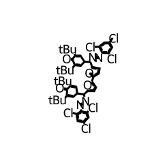 CC(C)(C)C1=CC(C(/N=N/c2c(Cl)cc(Cl)cc2Cl)c2ccc(-c3ccc(C(/N=N/c4c(Cl)cc(Cl)cc4Cl)C4C=C(C(C)(C)C)C(=O)C(C(C)(C)C)=C4)o3)o2)C=C(C(C)(C)C)C1=O